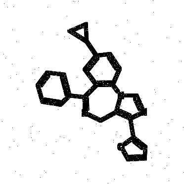 c1ccc(C2=NCc3c(-c4ccco4)ncn3-c3ccc(C4CC4)cc32)cc1